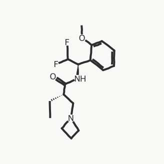 CC[C@@H](CN1CCC1)C(=O)N[C@H](c1ccccc1OC)C(F)F